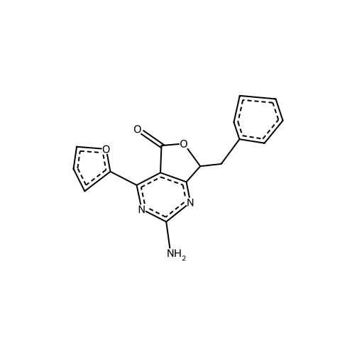 Nc1nc(-c2ccco2)c2c(n1)C(Cc1ccccc1)OC2=O